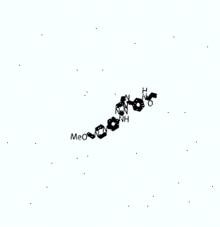 C=CC(=O)Nc1cccc(-c2ncc3cnc(Nc4ccc(N5CCN(CCOC)CC5)cc4)nn23)c1